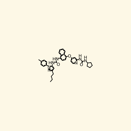 CCCCc1cc(NC(=O)Nc2ccc(Oc3ccnc(NC(=O)NC4CCCC4)c3)c3ccccc23)n(-c2ccc(C)cc2)n1